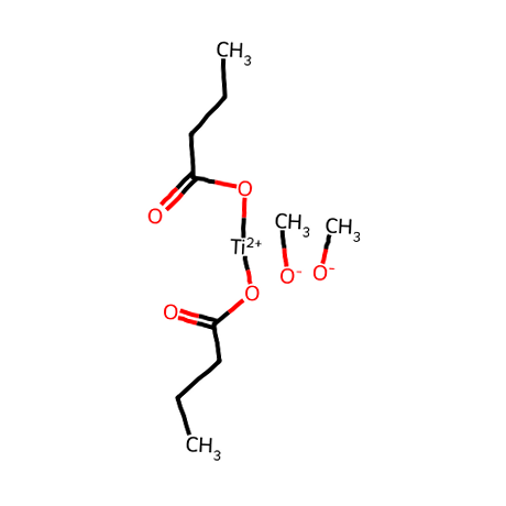 CCCC(=O)[O][Ti+2][O]C(=O)CCC.C[O-].C[O-]